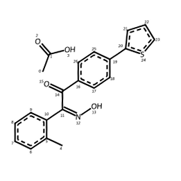 CC(=O)O.Cc1ccccc1C(=NO)C(=O)c1ccc(-c2cccs2)cc1